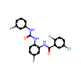 O=C(Nc1cccc(F)c1)Nc1ccc(F)cc1NC(=O)c1cc(Cl)ccc1F